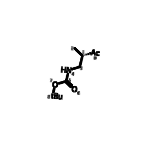 CC(=O)[C@@H](C)CNC(=O)OC(C)(C)C